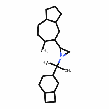 CC1CCC2CCCC2CC1C1CN1C(C)(C)C1CCC2CCC2C1